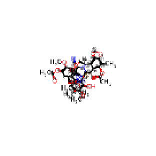 COc1cc2c(cc1OC(C)=O)CCN[C@]21CS[C@@H]2c3c(OC(C)=O)c(C)c4c(c3[C@H](COC1=O)N1C2C2c3c(cc(C)c(OC)c3O)C[C@@H]([C@@H]1C#N)N2C(=O)OC(C)(C)C)OCO4